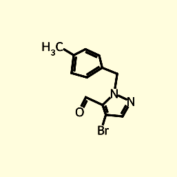 Cc1ccc(Cn2ncc(Br)c2C=O)cc1